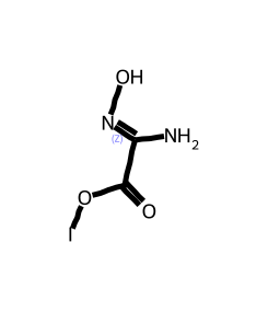 N/C(=N\O)C(=O)OI